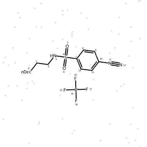 CCCCCCCCCCCCNS(=O)(=O)c1ccc([N+]#N)cc1.F[B-](F)(F)F